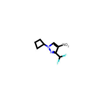 O=[N+]([O-])c1cn(C2CCC2)nc1C(F)F